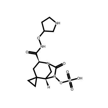 O=C(NOC1CCNC1)[C@@H]1CC2(CC2)[C@@H]2CN1C(=O)N2OS(=O)(=O)O